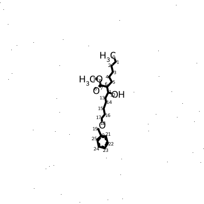 CCCCCCC(C(=O)OC)C(O)CCCCCOCc1ccccc1